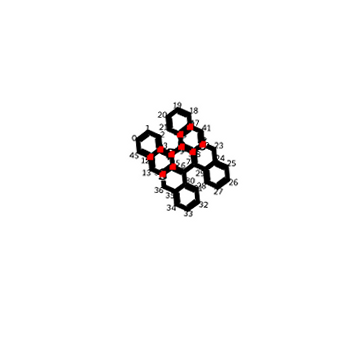 c1ccc(P(C2=C(C3=C(P(c4ccccc4)c4ccccc4)SCc4ccccc43)c3ccccc3CS2)c2ccccc2)cc1